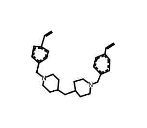 C=Cc1ccc(CN2CCC(CC3CCN(Cc4ccc(C=C)cc4)CC3)CC2)cc1